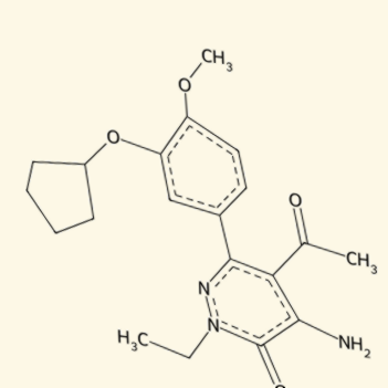 CCn1nc(-c2ccc(OC)c(OC3CCCC3)c2)c(C(C)=O)c(N)c1=O